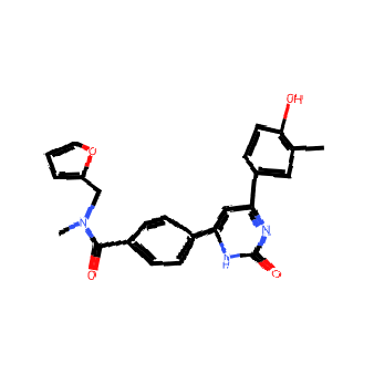 Cc1cc(-c2cc(-c3ccc(C(=O)N(C)Cc4ccco4)cc3)[nH]c(=O)n2)ccc1O